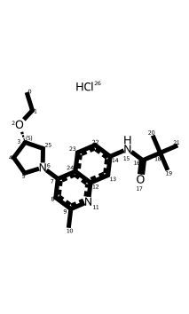 CCO[C@H]1CCN(c2cc(C)nc3cc(NC(=O)C(C)(C)C)ccc23)C1.Cl